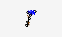 N=C1C=CC=C/C1=N/c1cn2c3ccccc3c3c4sc5cc(-c6ccc7c(c6)sc6ccccc67)ccc5c4cc1c32